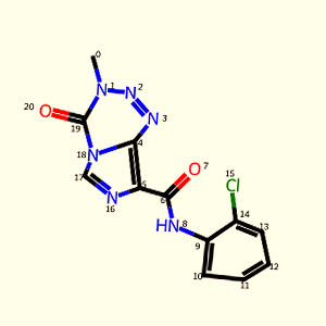 Cn1nnc2c(C(=O)Nc3ccccc3Cl)ncn2c1=O